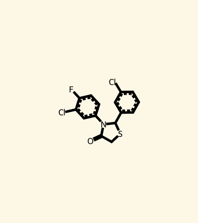 O=C1CSC(c2cccc(Cl)c2)N1c1ccc(F)c(Cl)c1